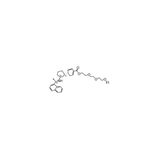 CCOCCOCCOCCOC(=O)C1=CCC([C@H]2CCC[C@H](N[C@H](C)c3cccc4ccccc34)C2)C=C1